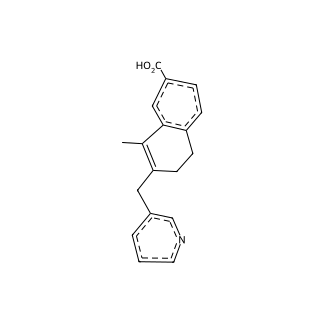 CC1=C(Cc2cccnc2)CCc2ccc(C(=O)O)cc21